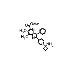 COC(=O)c1nn2c(-c3ccccc3)c(-c3ccc(C4(N)CCC4)cc3)nc2c(C)c1C